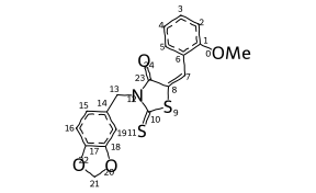 COc1ccccc1/C=C1/SC(=S)N(Cc2ccc3c(c2)OCO3)C1=O